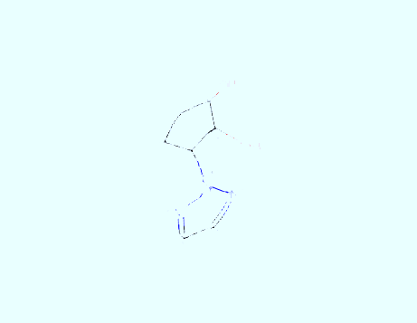 OC1CCC(n2nccn2)C1O